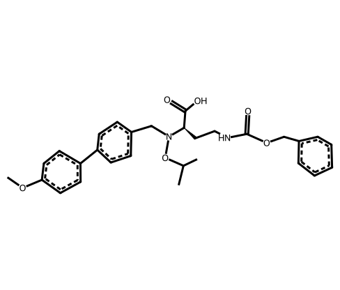 COc1ccc(-c2ccc(CN(OC(C)C)[C@H](CCNC(=O)OCc3ccccc3)C(=O)O)cc2)cc1